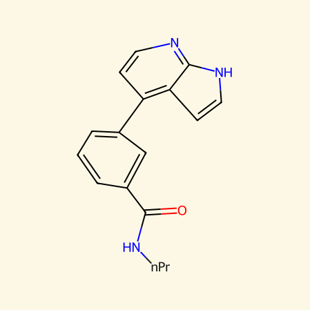 CCCNC(=O)c1cccc(-c2ccnc3[nH]ccc23)c1